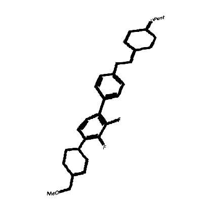 CCCCCC1CCC(CCc2ccc(-c3ccc(C4CCC(COC)CC4)c(F)c3F)cc2)CC1